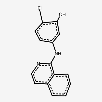 Oc1cc(Nc2nccc3ccccc23)ccc1Cl